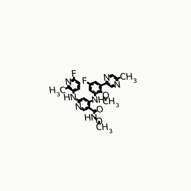 CONC(=O)c1cnc(Nc2ccc(F)nc2C)cc1Nc1cc(F)cc(-c2cnc(C)cn2)c1OC